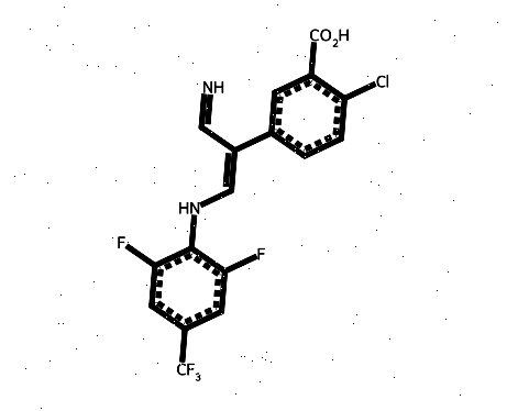 N=C/C(=C\Nc1c(F)cc(C(F)(F)F)cc1F)c1ccc(Cl)c(C(=O)O)c1